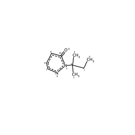 CCC(C)(C)n1ncccc1=O